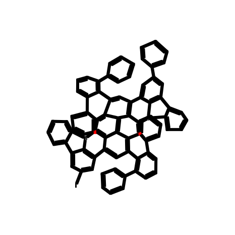 Ic1cc2c3c(c1)-c1cc(-c4c(-c5ccccc5)cccc4-c4ccccc4)c4cc5c6c(cc(-c7c(-c8ccccc8)cccc7-c7ccccc7)c7cc(c1c4c76)B3c1ccccc1-2)-c1cc(-c2ccccc2)cc2c1B5c1ccccc1-2